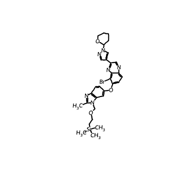 Cc1nc2ccc(Oc3ccc4ncc(-c5cnn(C6CCCCO6)c5)nc4c3Br)cc2n1COCC[Si](C)(C)C